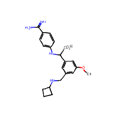 CCOc1cc(CNC2CCC2)cc(C(Nc2ccc(C(=N)N)cc2)C(=O)O)c1